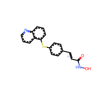 O=C(/C=C/c1ccc(Sc2cccc3ncccc23)cc1)NO